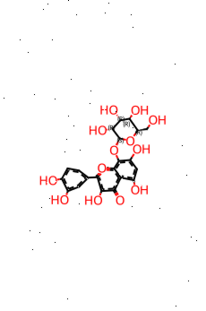 O=c1c(O)c(-c2ccc(O)c(O)c2)oc2c(O[C@@H]3O[C@H](CO)[C@H](O)[C@@H](O)[C@H]3O)c(O)cc(O)c12